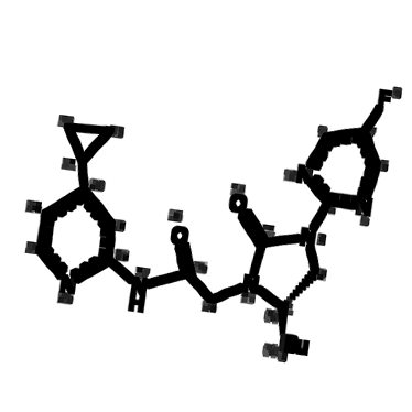 CC[C@H](C)[C@H]1CN(c2ncc(F)cn2)C(=O)N1CC(=O)Nc1cc(C2CC2)ccn1